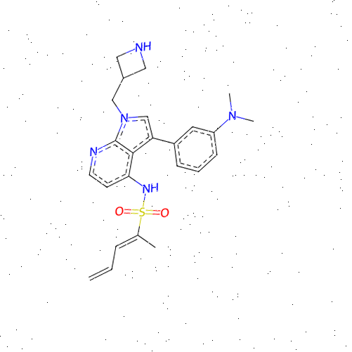 C=C/C=C(\C)S(=O)(=O)Nc1ccnc2c1c(-c1cccc(N(C)C)c1)cn2CC1CNC1